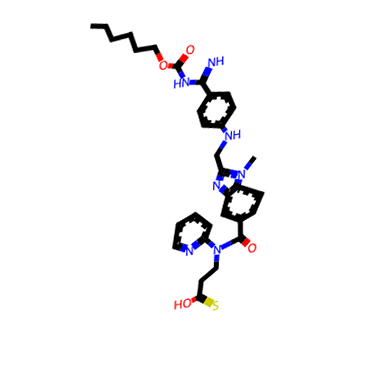 CCCCCCOC(=O)NC(=N)c1ccc(NCc2nc3cc(C(=O)N(CCC(O)=S)c4ccccn4)ccc3n2C)cc1